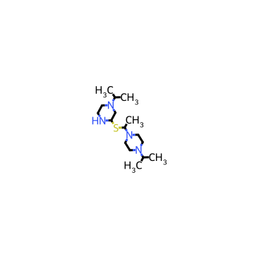 CC(C)N1CCN(C(C)SC2CN(C(C)C)CCN2)CC1